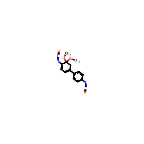 COC1(OC)CC(c2ccc(N=C=O)cc2)=CC=C1N=C=O